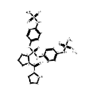 CS(=O)(=O)Nc1ccc(OP(=O)(Oc2ccc(NS(C)(=O)=O)cc2)[C@@H]2CCCN2C(=O)[C@@H]2CCCN2)cc1.Cl